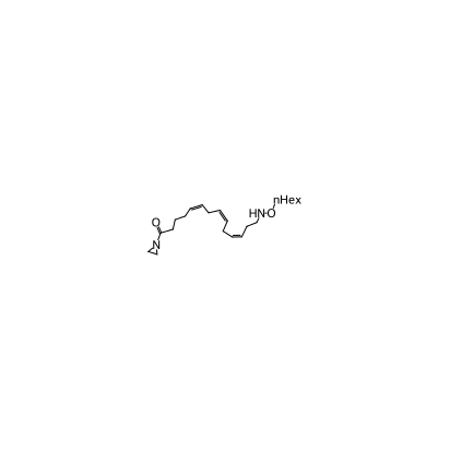 CCCCCCONCC/C=C\C/C=C\C/C=C\CCCC(=O)N1CC1